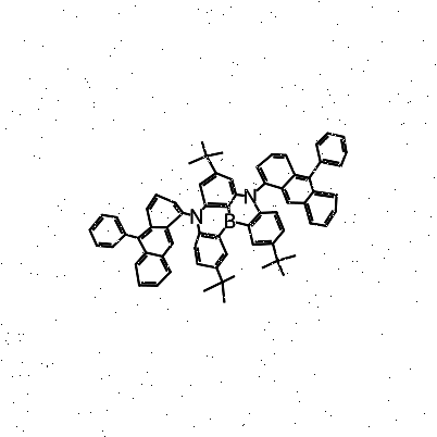 CC(C)(C)c1ccc2c(c1)B1c3cc(C(C)(C)C)ccc3N(c3cccc4c(-c5ccccc5)c5ccccc5cc34)c3cc(C(C)(C)C)cc(c31)N2c1cccc2c(-c3ccccc3)c3ccccc3cc12